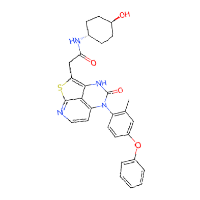 Cc1cc(Oc2ccccc2)ccc1N1C(=O)Nc2c(CC(=O)N[C@H]3CC[C@H](O)CC3)sc3nccc1c23